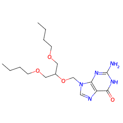 CCCCOCC(COCCCC)OCn1cnc2c(=O)[nH]c(N)nc21